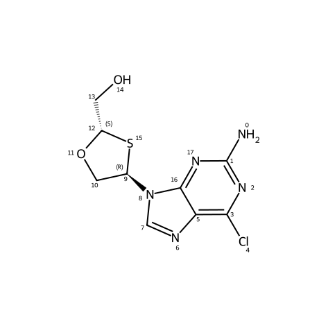 Nc1nc(Cl)c2ncn([C@H]3CO[C@H](CO)S3)c2n1